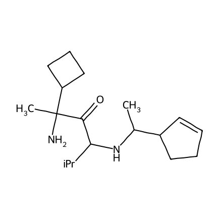 CC(C)C(NC(C)C1C=CCC1)C(=O)C(C)(N)C1CCC1